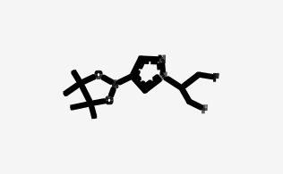 CC1(C)OB(c2cnn(C(CF)CF)c2)OC1(C)C